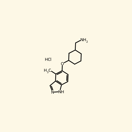 Cc1c(OC2CCCC(CN)C2)ccc2[nH]ncc12.Cl